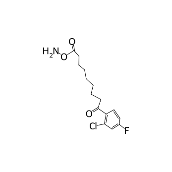 NOC(=O)CCCCCCCC(=O)c1ccc(F)cc1Cl